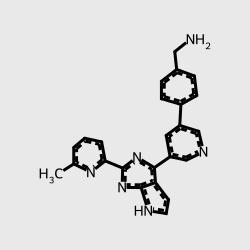 Cc1cccc(-c2nc(-c3cncc(-c4ccc(CN)cc4)c3)c3cc[nH]c3n2)n1